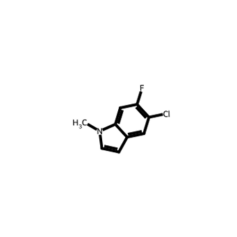 Cn1ccc2cc(Cl)c(F)cc21